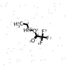 CCNOC(=O)C(F)(F)F